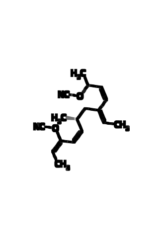 C/C=C(\C=C/C(C)OC#N)C[C@@H](C)/C=C\C(=C/C)OC#N